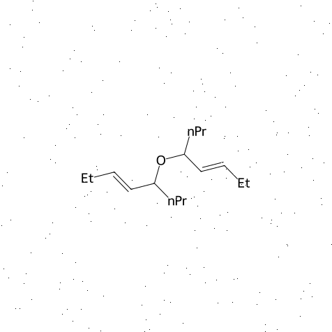 CCC=CC(CCC)OC(C=CCC)CCC